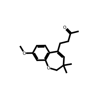 COc1ccc2c(c1)OCC(C)(C)C=C2CCC(C)=O